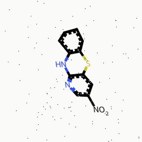 O=[N+]([O-])c1cnc2c(c1)Sc1ccccc1N2